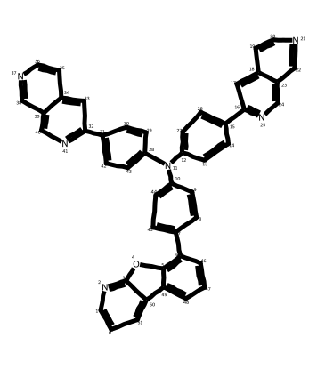 c1cnc2oc3c(-c4ccc(N(c5ccc(-c6cc7ccncc7cn6)cc5)c5ccc(-c6cc7ccncc7cn6)cc5)cc4)cccc3c2c1